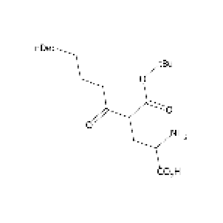 CCCCCCCCCCCCCC(=O)C(CC(N)C(=O)O)C(=O)OC(C)(C)C